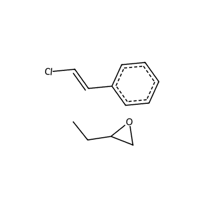 CCC1CO1.ClC=Cc1ccccc1